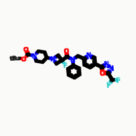 CC(C)(C)OC(=O)N1CCC(N2CC(F)(C(=O)N(Cc3ccc(-c4nnc(C(F)F)o4)cn3)c3ccccc3)C2)CC1